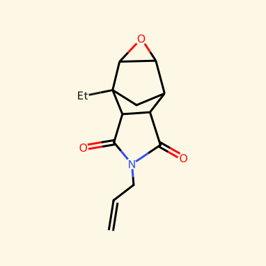 C=CCN1C(=O)C2C3CC(CC)(C4OC34)C2C1=O